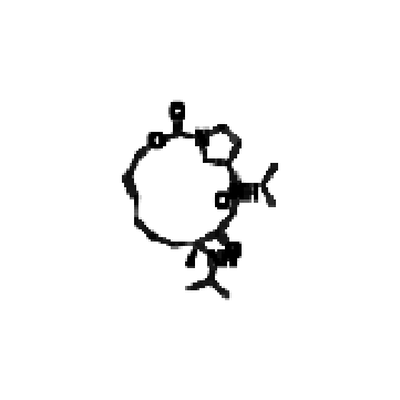 CC(C)N[C@]1(C)CCC/C=C/COC(=O)N2CC[C@](C(=O)C(C)C)(C2)NCC1=O